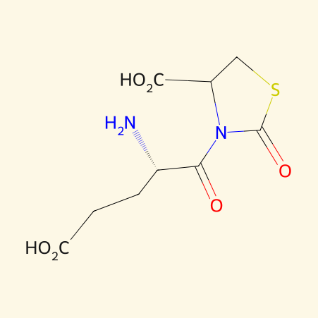 N[C@@H](CCC(=O)O)C(=O)N1C(=O)SCC1C(=O)O